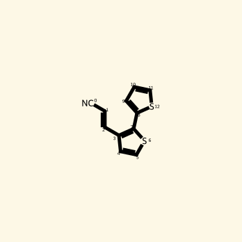 N#CC=Cc1ccsc1-c1cccs1